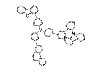 c1cc(-c2ccc(N(c3ccc(-c4cccc5c4oc4ccccc45)cc3)c3cccc(-c4ccc5c(ccc6ccccc65)c4)c3)cc2)cc(-c2ccccc2-n2c3ccccc3c3ccccc32)c1